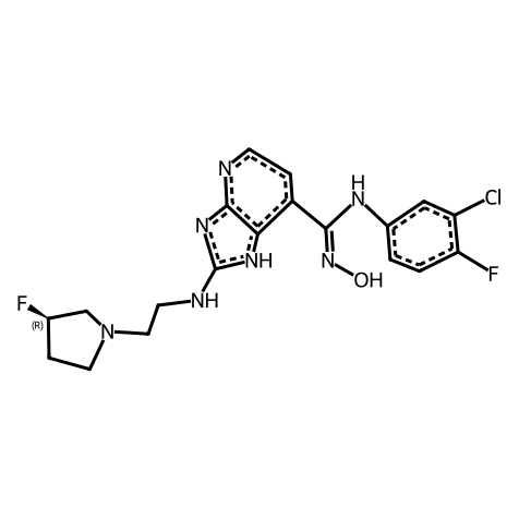 ON=C(Nc1ccc(F)c(Cl)c1)c1ccnc2nc(NCCN3CC[C@@H](F)C3)[nH]c12